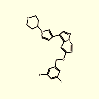 Fc1cc(F)cc(COc2ccn3ncc(-c4cnn(C5CCOCC5)c4)c3n2)c1